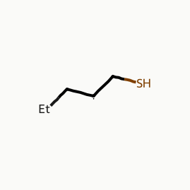 CCC[CH]CS